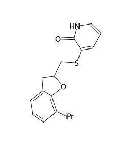 CC(C)c1cccc2c1OC(CSc1ccc[nH]c1=O)C2